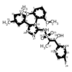 COc1cccc(OC)c1-n1c(NS(=O)(=O)[C@H](C)[C@H](O)c2ncc(F)cn2)nnc1-c1cncc(C)c1